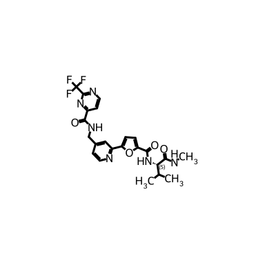 CNC(=O)[C@@H](NC(=O)c1ccc(-c2cc(CNC(=O)c3ccnc(C(F)(F)F)n3)ccn2)o1)C(C)C